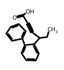 CCC(C#CC(=O)O)c1ccccc1-c1ccccc1